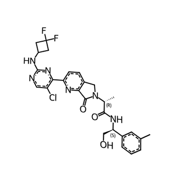 Cc1cccc([C@@H](CO)NC(=O)[C@@H](C)N2Cc3ccc(-c4nc(NC5CC(F)(F)C5)ncc4Cl)nc3C2=O)c1